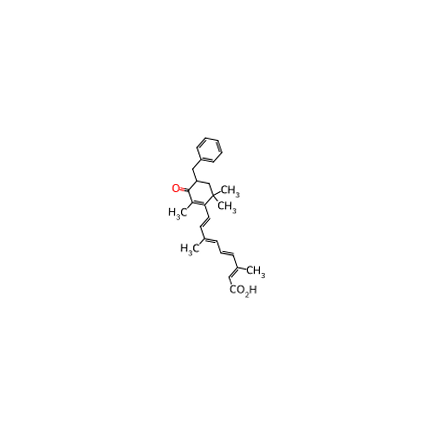 CC(C=CC1=C(C)C(=O)C(Cc2ccccc2)CC1(C)C)=CC=CC(C)=CC(=O)O